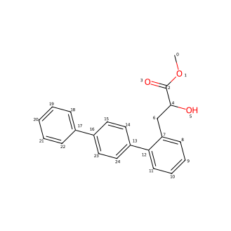 COC(=O)C(O)Cc1ccccc1-c1ccc(-c2ccccc2)cc1